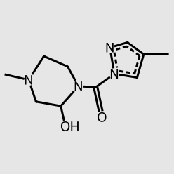 Cc1cnn(C(=O)N2CCN(C)CC2O)c1